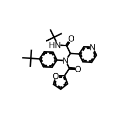 CC(C)(C)NC(=O)C(c1cccnc1)N(C(=O)c1ccco1)c1ccc(C(C)(C)C)cc1